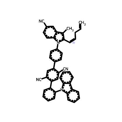 C=CC/C=C\c1c(C)c2cc(C#N)ccc2n1-c1ccc(-c2cc(C#N)c(-c3ccccc3-n3c4ccccc4c4ccccc43)cc2C#N)cc1